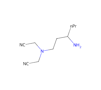 CCCC(N)CCN(CC#N)CC#N